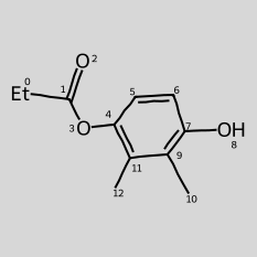 CCC(=O)Oc1ccc(O)c(C)c1C